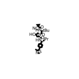 Cc1ncsc1-c1ccc([C@H](CC(C)C)NC(=O)[C@@H]2C[C@@H](O)CN2C(=O)[C@@H](NC(=O)C2(C#N)CC2)C(C)(C)C)cc1